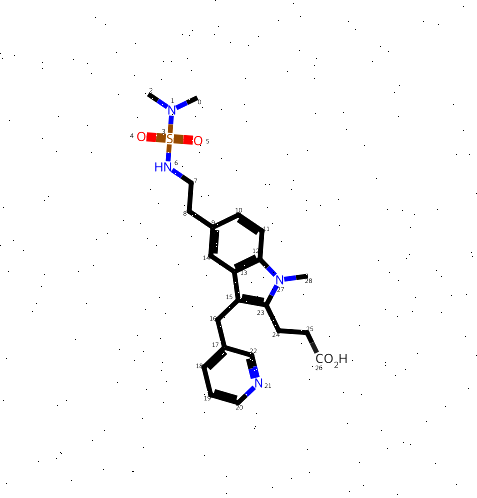 CN(C)S(=O)(=O)NCCc1ccc2c(c1)c(Cc1cccnc1)c(CCC(=O)O)n2C